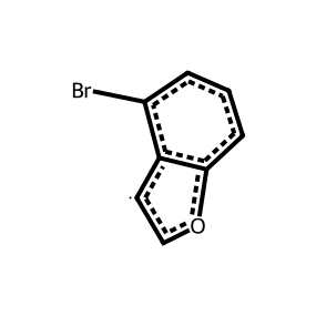 Brc1cccc2oc[c]c12